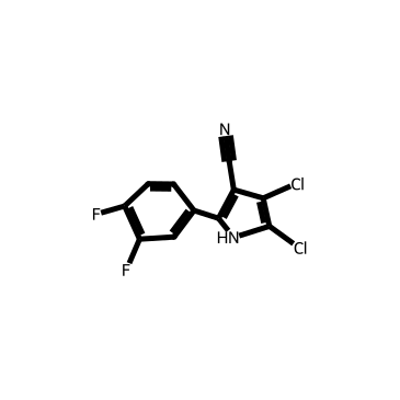 N#Cc1c(-c2ccc(F)c(F)c2)[nH]c(Cl)c1Cl